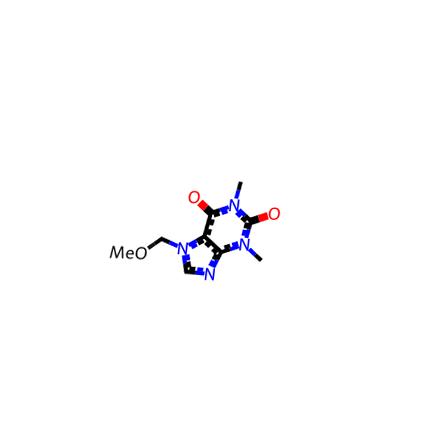 COCn1cnc2c1c(=O)n(C)c(=O)n2C